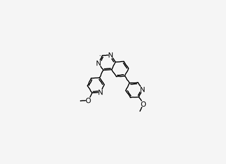 COc1ccc(-c2ccc3n[c]nc(-c4ccc(OC)nc4)c3c2)cn1